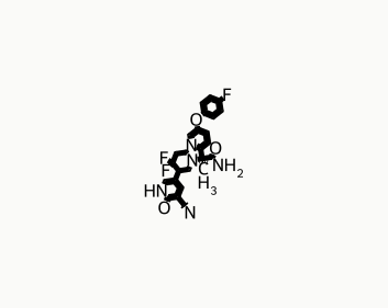 C[C@@](C(N)=O)(c1ccc(Oc2ccc(F)cc2)cn1)N1CCC(F)(F)C(c2c[nH]c(=O)c(C#N)c2)C1